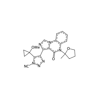 COC1(c2c(-c3ncn4c3c(=O)n(C3(C)CCCO3)c3ccccc34)nnn2C#N)CC1